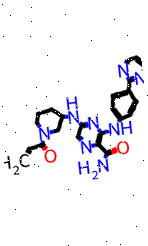 C=CC(=O)N1CCCC(Nc2cnc(C(N)=O)c(Nc3ccc(-c4ncccn4)cc3)n2)C1